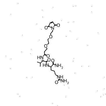 CC(C)[C@H](NC(=O)CCOCCOCCN1C(=O)C=CC1=O)C(=O)NC(CCCNC(N)=O)C(N)=O